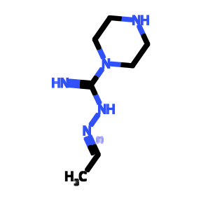 C/C=N/NC(=N)N1CCNCC1